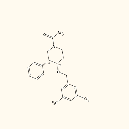 NC(=O)N1CC[C@H](OCc2cc(C(F)(F)F)cc(C(F)(F)F)c2)[C@H](c2ccccc2)C1